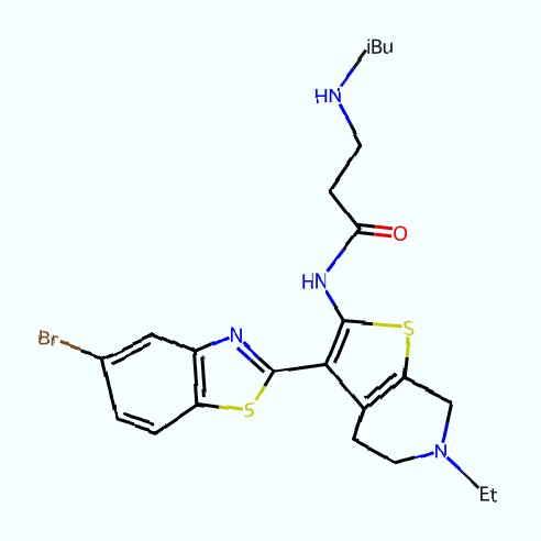 CCC(C)NCCC(=O)Nc1sc2c(c1-c1nc3cc(Br)ccc3s1)CCN(CC)C2